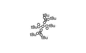 CC(C)(C)c1ccc2c(c1)c1cc(C(C)(C)C)ccc1n2-c1ccc(-c2cc(-c3ccc(C(C)(C)C)c4ccccc34)c(-c3ccc(-n4c5ccc(C(C)(C)C)cc5c5cc(C(C)(C)C)ccc54)cc3)cc2-c2ccc(C(C)(C)C)c3ccccc23)cc1